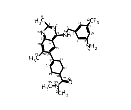 Cc1nc(NCc2cc(N)cc(C(F)(F)F)c2)c2cc(C3=CCC(C(=O)N(C)C)CC3)c(C)cc2n1